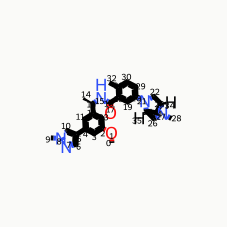 COc1cc(-c2cnn(C)c2)cc([C@@H](C)NC(=O)c2cc(N3C[C@H]4C[C@@H]3CN4C)ccc2C)c1